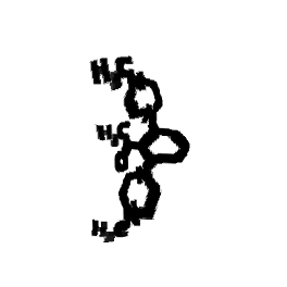 CC(=O)c1c(N2CCN(C)CC2)cccc1N1CCN(C)CC1